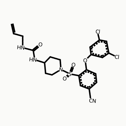 C=CCNC(=O)NC1CCN(S(=O)(=O)c2cc(C#N)ccc2Oc2cc(Cl)cc(Cl)c2)CC1